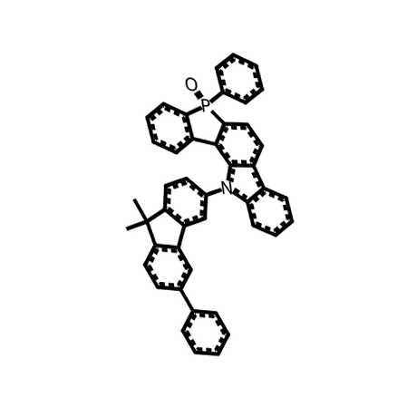 CC1(C)c2ccc(-c3ccccc3)cc2-c2cc(-n3c4ccccc4c4ccc5c(c43)-c3ccccc3P5(=O)c3ccccc3)ccc21